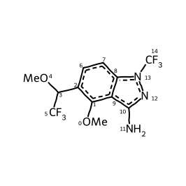 COc1c(C(OC)C(F)(F)F)ccc2c1c(N)nn2C(F)(F)F